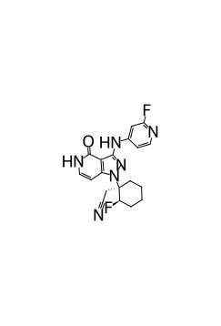 N#CC[C@]1(n2nc(Nc3ccnc(F)c3)c3c(=O)[nH]ccc32)CCCC[C@H]1F